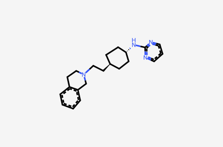 c1cnc(N[C@H]2CC[C@H](CCN3CCc4ccccc4C3)CC2)nc1